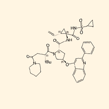 C=C[C@@H]1C[C@]1(NC(=O)[C@@H]1C[C@@H](Oc2cc(-c3ccccc3)nc3ccccc23)CN1C(=O)[C@@H](CC(=O)N1CCCCC1)C(C)(C)C)C(=O)NS(=O)(=O)C1CC1